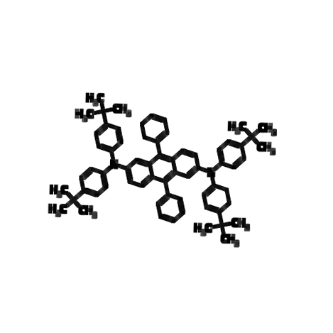 CC(C)(C)C1=CC=C(N(c2ccc(C(C)(C)C)cc2)c2ccc3c(C4=CC=CCC4)c4cc(N(c5ccc(C(C)(C)C)cc5)c5ccc(C(C)(C)C)cc5)ccc4c(-c4ccccc4)c3c2)CC1